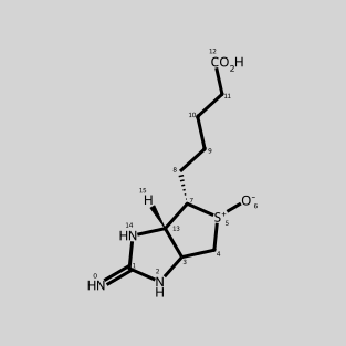 N=C1NC2C[S+]([O-])[C@@H](CCCCC(=O)O)[C@H]2N1